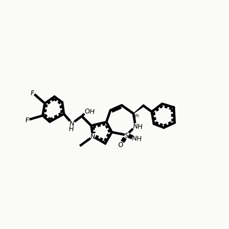 Cn1cc2c(c1C(O)Nc1ccc(F)c(F)c1)C=C[C@@H](Cc1ccccc1)NS2(=N)=O